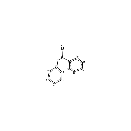 CCC(Cc1cc[c]cc1)c1ccccc1